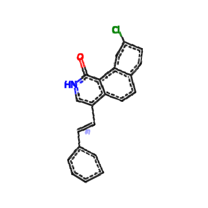 O=c1[nH]cc(/C=C/c2ccccc2)c2ccc3ccc(Cl)cc3c12